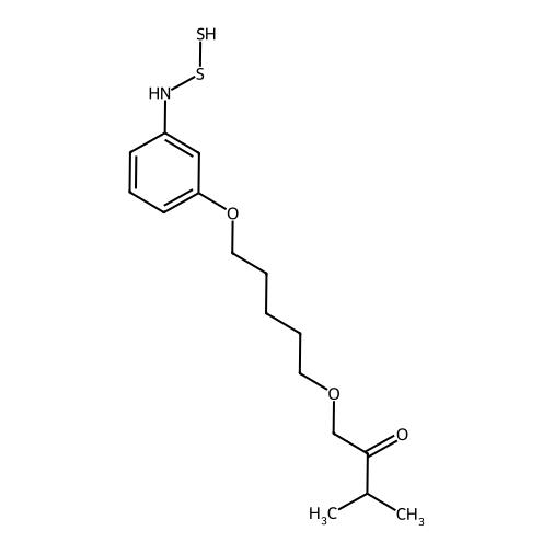 CC(C)C(=O)COCCCCCOc1cccc(NSS)c1